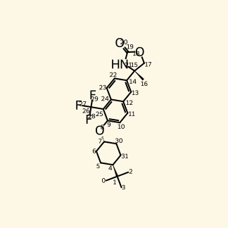 CC(C)(C)[C@H]1CC[C@H](Oc2ccc3cc([C@@]4(C)COC(=O)N4)ccc3c2C(F)(F)F)CC1